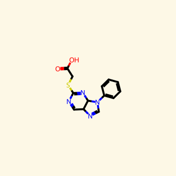 O=C(O)CSC1=NC2C(C=N1)N=CN2c1ccccc1